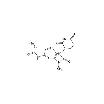 Cn1c(=O)n(C2CCC(=O)NC2=O)c2ccc(NC(=O)OC(C)(C)C)cc21